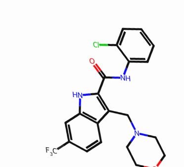 O=C(Nc1ccccc1Cl)c1[nH]c2cc(C(F)(F)F)ccc2c1CN1CCOCC1